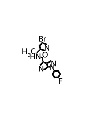 C[C@H](NC(=O)c1cncc2c1cnn2-c1ccc(F)cc1)c1cncc(Br)c1